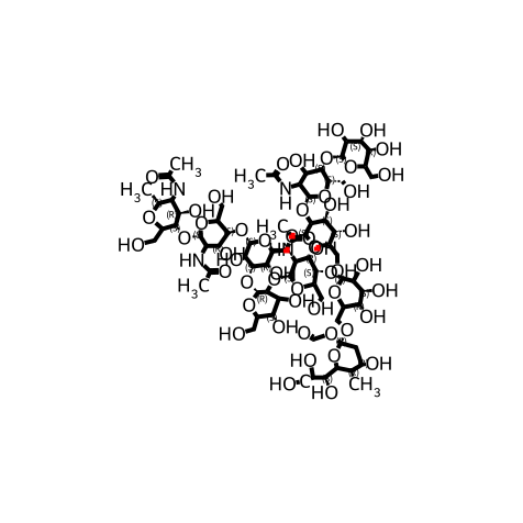 CC(=O)NC1C(O)[C@H](O[C@@H]2OC(CO)[C@H](O)[C@H](O)C2O)[C@H](CO)O[C@H]1OC1[C@@H](OCC2O[C@@H](O[C@@H]3C(CO)O[C@@H](O[C@@H]4C(CO)O[C@@H](C)C(NC(C)=O)[C@H]4O)C(NC(C)=O)[C@H]3O)C(O)[C@@H](O[C@H]3OC(CO)[C@@H](O)C(O)C3O[C@@H]3OC(CO)[C@@H](O[C@@H]4OC(CO[C@]5(OC=O)C[C@@H](O)[C@@H](C)C([C@@H](O)C(O)CO)O5)[C@H](O)[C@H](O)C4O)[C@H](O)C3NC(C)=O)[C@@H]2O)OC(CO)[C@@H](O)[C@@H]1O